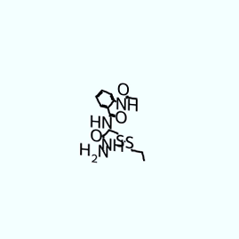 CCCSSCC(NC(=O)c1ccccc1NC(C)=O)C(=O)NN